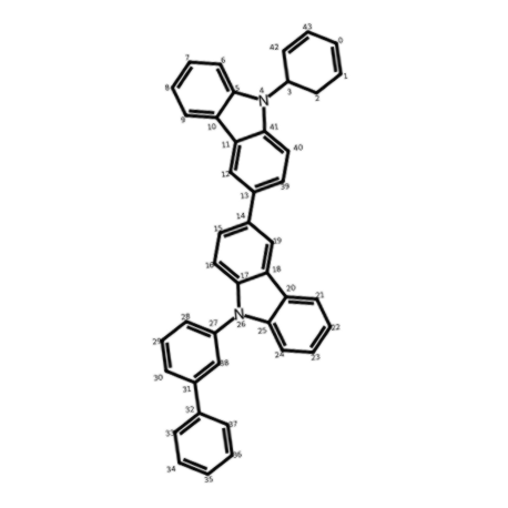 C1=CCC(n2c3ccccc3c3cc(-c4ccc5c(c4)c4ccccc4n5-c4cccc(-c5ccccc5)c4)ccc32)C=C1